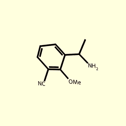 COc1c(C#N)cccc1C(C)N